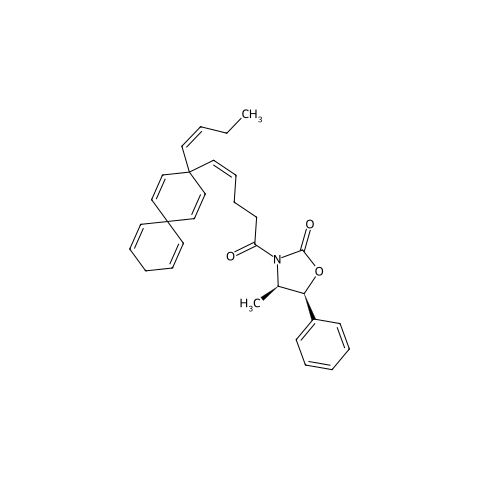 CC/C=C\C1(/C=C\CCC(=O)N2C(=O)O[C@@H](c3ccccc3)[C@H]2C)C=CC2(C=CCC=C2)C=C1